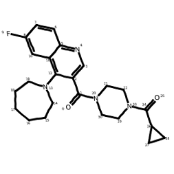 O=C(c1cnc2ccc(F)cc2c1N1CCCCCC1)N1CCN(C(=O)C2CC2)CC1